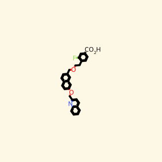 O=C(O)c1ccc(CCOCc2ccc3ccc(OCc4ccc5ccccc5n4)cc3c2)c(F)c1